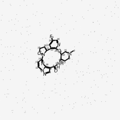 CN1CC[C@H]2NC(=O)c3cnn4ccc(nc34)N3OCCC3c3cc(F)cnc3OC2C1